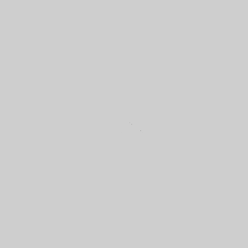 Oc1ccnn1C(F)F